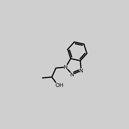 CC(O)Cn1nnc2ccccc21